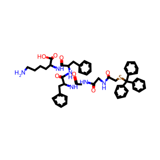 NCCCCC(NC(=O)C(Cc1ccccc1)NC(=O)C(Cc1ccccc1)NC(=O)CNC(=O)CNC(=O)CSC(c1ccccc1)(c1ccccc1)c1ccccc1)C(=O)O